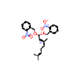 CC(C)=CCC/C(C)=C/C(OCc1ccccc1[N+](=O)[O-])OCc1ccccc1[N+](=O)[O-]